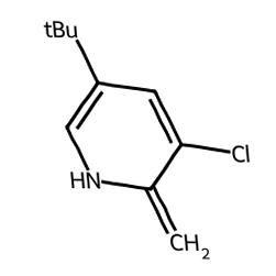 C=C1NC=C(C(C)(C)C)C=C1Cl